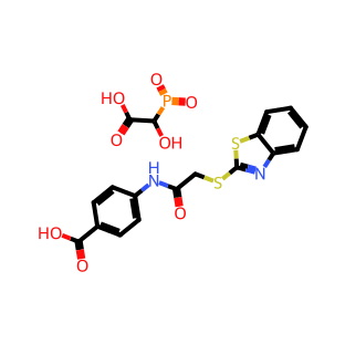 O=C(CSc1nc2ccccc2s1)Nc1ccc(C(=O)O)cc1.O=C(O)C(O)P(=O)=O